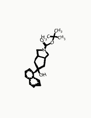 CC(C)(C)OC(=O)N1CC2CC(O)(c3cccc4ccccc34)CC2C1